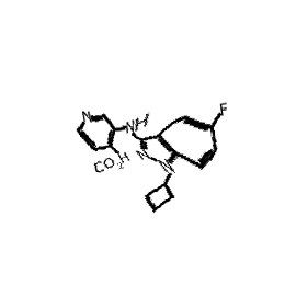 O=C(O)c1ccncc1Nc1nn(C2CCC2)c2ccc(F)cc12